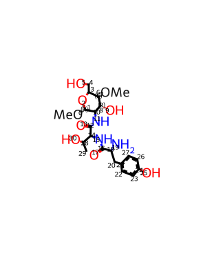 CO[C@@H]1OC(CO)[C@@H](OC)[C@H](O)C1NC(=O)C(NC(=O)C(N)Cc1ccc(O)cc1)C(C)O